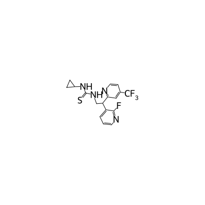 Fc1ncccc1C(CNC(=S)NC1CC1)c1cc(C(F)(F)F)ccn1